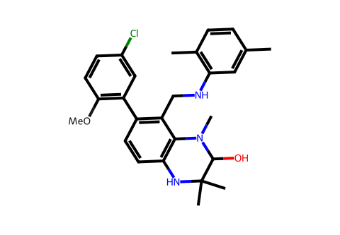 COc1ccc(Cl)cc1-c1ccc2c(c1CNc1cc(C)ccc1C)N(C)C(O)C(C)(C)N2